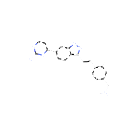 CN(C)Cc1ccc(C=Cc2n[nH]c3cc(-c4ccnc(N)n4)ccc23)c(F)c1